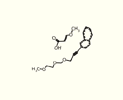 COC=CC(=O)O.COCCOCOCC#Cc1ccc2ccccc2c1